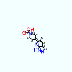 Cc1cc2cn[nH]c2nc1C1CCN(C(=O)O)CC1